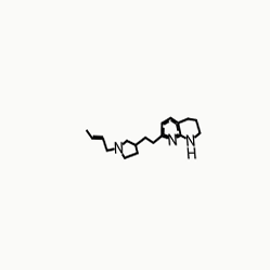 C/C=C/CN1CCC(CCc2ccc3c(n2)NCCC3)C1